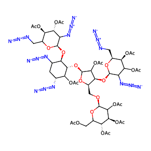 CC(=O)OCC1O[C@@H](OC[C@H]2O[C@@H](O[C@@H]3C(OC(C)=O)[C@H](N=[N+]=[N-])CC(N=[N+]=[N-])[C@H]3O[C@H]3OC(CN=[N+]=[N-])[C@@H](OC(C)=O)[C@H](OC(C)=O)C3N=[N+]=[N-])C(OC(C)=O)[C@H]2O[C@H]2O[C@@H](CN=[N+]=[N-])[C@@H](OC(C)=O)C(OC(C)=O)C2N=[N+]=[N-])C(OC(C)=O)[C@@H](OC(C)=O)[C@@H]1OC(C)=O